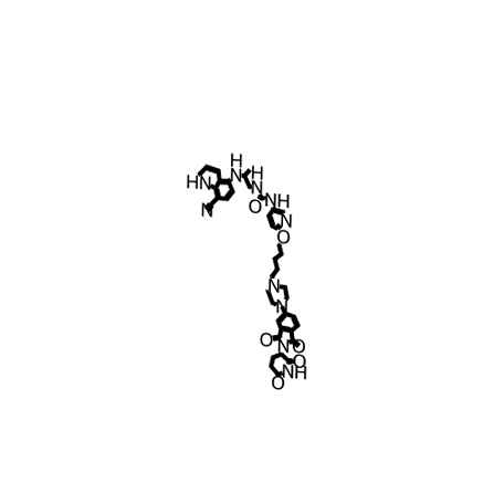 CC(CNC(=O)Nc1ccc(OCCCCCN2CCN(c3ccc4c(c3)C(=O)N(C3CCC(=O)NC3=O)C4=O)CC2)nc1)Nc1ccc(C#N)c2c1C=CCN2